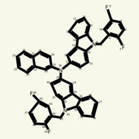 Fc1ccc(F)c(Cn2c3ccccc3c3cc(N(c4ccc5ccccc5c4)c4ccc5c(c4)c4ccccc4n5Cc4cc(F)ccc4F)ccc32)c1